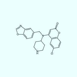 O=c1cc(N(Cc2ccc3ocnc3c2)C2CCNCC2)c2cc(Cl)ccc2o1